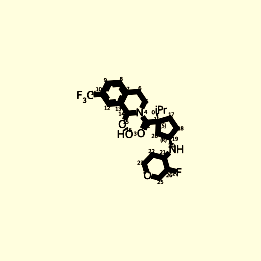 CC(C)[C@]1(C(=O)N2CCc3ccc(C(F)(F)F)cc3C2OO)CC[C@@H](NC2CCOCC2F)C1